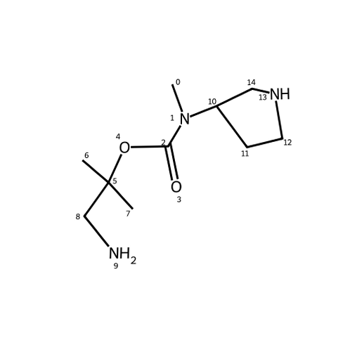 CN(C(=O)OC(C)(C)CN)C1CCNC1